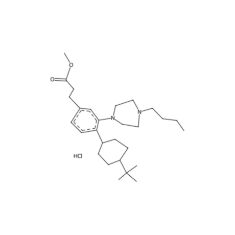 CCCCN1CCN(c2cc(CCC(=O)OC)ccc2C2CCC(C(C)(C)C)CC2)CC1.Cl